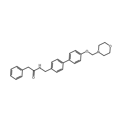 O=C(Cc1ccccc1)NCc1ccc(-c2ccc(OCN3CCOCC3)cc2)cc1